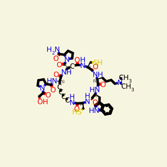 CN(C)CCCC[C@@H]1NC(=O)[C@H](CS)NC(=O)C[C@@H](C(=O)N2CCCC2C(N)=O)NC(=O)[C@@H](NC(=O)C2CCCN2C(=O)CO)CCCCNC(=O)[C@H](CS)NC(=O)[C@H](Cc2c[nH]c3ccccc23)NC1=O